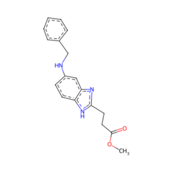 COC(=O)CCc1nc2cc(NCc3ccccc3)ccc2[nH]1